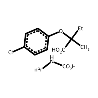 CCC(C)(Oc1ccc(Cl)cc1)C(=O)O.CCCNC(=O)O